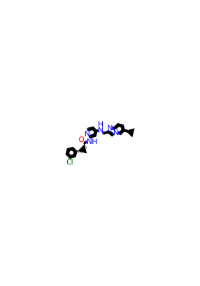 O=C(Nc1cc(NCc2cn3cc(C4CC4)ccc3n2)ccn1)[C@H]1C[C@@H]1c1cccc(Cl)c1